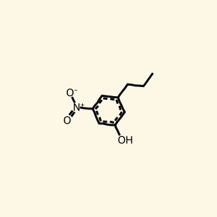 CCCc1cc(O)cc([N+](=O)[O-])c1